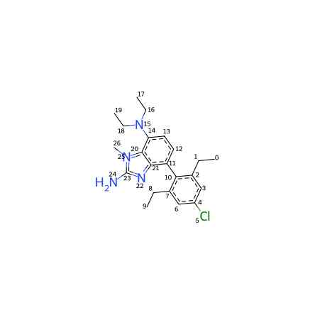 CCc1cc(Cl)cc(CC)c1-c1ccc(N(CC)CC)c2c1nc(N)n2C